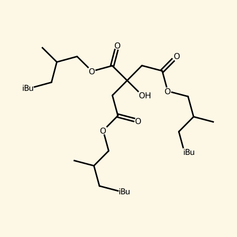 CCC(C)CC(C)COC(=O)CC(O)(CC(=O)OCC(C)CC(C)CC)C(=O)OCC(C)CC(C)CC